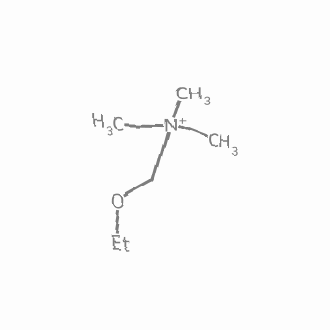 CCOC[N+](C)(C)C